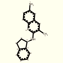 Cc1cc2cc(N)ccc2nc1N[C@@H]1CCc2ccccc21